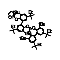 CCC(C)(C)c1cc(-c2cc(C(C)(C)CC)cc(C(C)(C)C)c2Op2oc3c(C(C)(C)C)cc(C(C)(C)CC)cc3c3cc(C(C)(C)CC)cc(C(C)(C)C)c3o2)c(OP2OCCO2)c(C(C)(C)C)c1